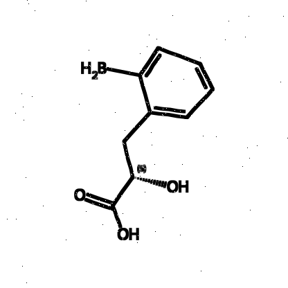 Bc1ccccc1C[C@H](O)C(=O)O